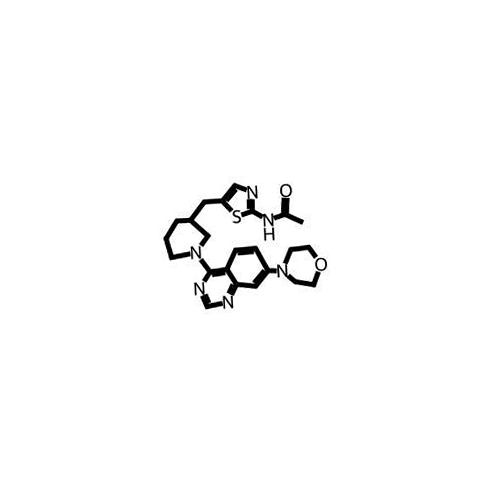 CC(=O)Nc1ncc(CC2CCCN(c3ncnc4cc(N5CCOCC5)ccc34)C2)s1